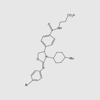 CC(C)(C)C1CCC(N2C(=Nc3ccc(Br)cc3)OCC2c2ccc(C(=O)NCCC(=O)O)cc2)CC1